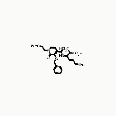 COCCn1ccc(C(=O)NC(CCCC(C)(C)C)C(C(=O)O)C(=O)O)c(OCc2ccccc2)c1=O